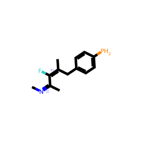 C/N=C(C)\C(F)=C(\C)Cc1ccc(P)cc1